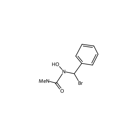 CNC(=O)N(O)C(Br)c1ccccc1